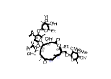 CC[C@@H]1O[C@@H](O[C@H]2[C@H](N(C)C)[C@@H](OC(=O)C(C)C)[C@H](O[C@H]3[C@@H](CC=O)C[C@@H](C)C(=O)/C=C/C(C)=C/[C@H](CO[C@@H]4O[C@H](C)[C@@H](O)[C@@H](OC)[C@H]4OC)[C@@H](CC)OC(=O)C[C@@H](O)[C@@H]3C)O[C@@H]2C)C[C@@](C)(O)[C@H]1O